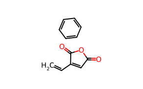 C=CC1=CC(=O)OC1=O.c1ccccc1